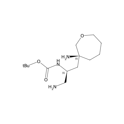 CC(C)(C)OC(=O)N[C@H](CN)C[C@@]1(N)CCCCOC1